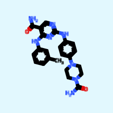 Cc1cccc(Nc2nc(Nc3ccc(N4CCN(C(N)=O)CC4)cc3)ncc2C(N)=O)c1